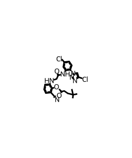 CC(C)(C)CCC(=O)Oc1c(C#N)cccc1NCC(=O)Nc1cc(Cl)ccc1-n1cc(Cl)nn1